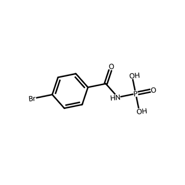 O=C(NP(=O)(O)O)c1ccc(Br)cc1